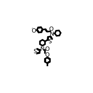 COc1ccc(/C=C/C(=O)N(c2csc(C3CCCC(N(C(=O)COc4ccc(C)cc4)c4ccsc4)C3)c2)C2CCCCC2)cc1